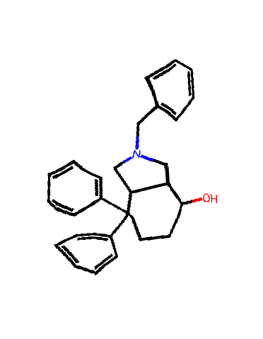 OC1CCC(c2ccccc2)(c2ccccc2)C2CN(Cc3ccccc3)CC12